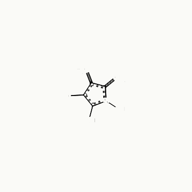 C=c1c(CC)c(C)n(C)c1=C